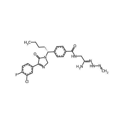 C=NN/N=C(\N)CNC(=O)c1ccc([C@@H](CCCC)N2CN=C(c3ccc(F)c(Cl)c3)C2=O)cc1